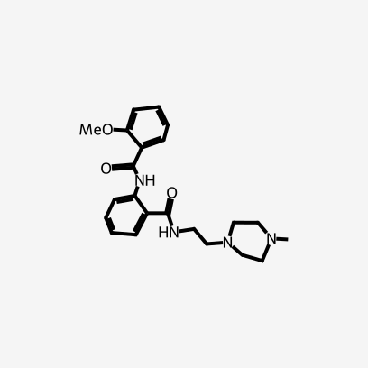 COc1ccccc1C(=O)Nc1ccccc1C(=O)NCCN1CCN(C)CC1